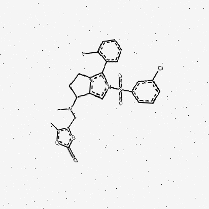 Cc1oc(=O)oc1CN(C)C1CCc2c1cn(S(=O)(=O)c1cccc(Cl)c1)c2-c1ccccc1F